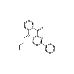 CCCCOc1ccccc1C(=O)c1cccc(-c2ccccc2)n1